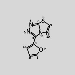 c1coc(-c2nnc3scnn23)c1